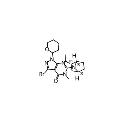 CC[C@@H]1C[C@@H]2CC[C@H]1N2c1nc2c(c(Br)nn2C2CCCCO2)c(=O)n1C